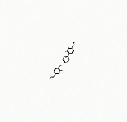 C/C=C/c1ccc(COc2ccc(-c3ccc(C4CO4)c(F)c3F)cc2)c(F)c1